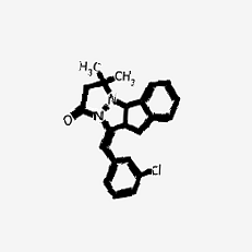 CC1(C)CC(=O)N2/C(=C/c3cccc(Cl)c3)C3Cc4ccccc4C3N21